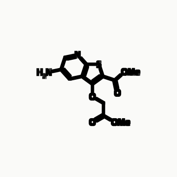 COC(=O)COc1c(C(=O)OC)sc2ncc(N)cc12